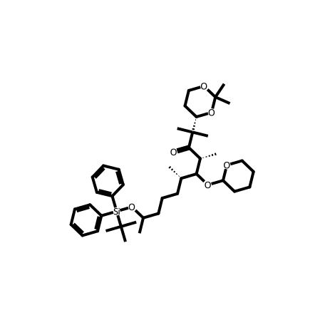 CC(CCC[C@H](C)C(OC1CCCCO1)[C@@H](C)C(=O)C(C)(C)[C@@H]1CCOC(C)(C)O1)O[Si](c1ccccc1)(c1ccccc1)C(C)(C)C